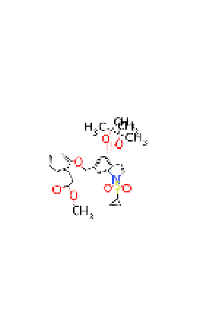 CCOC(=O)Cc1ccccc1OCc1cc(B2OC(C)(C)C(C)(C)O2)c2ccn(S(=O)(=O)C3CC3)c2c1